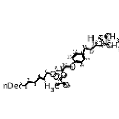 CCCCCCCCCCCCCCCCOC[C@@H](COc1ccc(CCCC[N+](C)(C)C)cc1)OS(C)(=O)=O